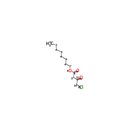 CCCCCCCCOC(=O)CC(=O)CCl